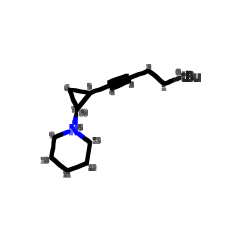 CC(C)(C)CCC#CC1C[C@@H]1N1CCCCC1